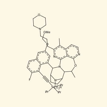 COCOc1cc(C2C3CCC(C4C(C)Oc5nccc6c(C)c(CCCN7CCOCC7)nc(c56)N24)N3C(=O)O)c2c(C#C[Si](C(C)C)(C(C)C)C(C)C)c(F)ccc2c1